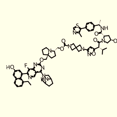 CCc1cccc2cc(O)cc(-c3ncc4c(N5CC6CCC(C5)N6)nc(OC[C@@]56CCCN5[C@H](COC(=O)N5CC7(C5)CN(c5cc([C@H](C(=O)N8C[C@H](O)C[C@H]8C(=O)N[C@@H](C)c8ccc(-c9scnc9C)cc8)C(C)C)on5)C7)CC6)nc4c3F)c12